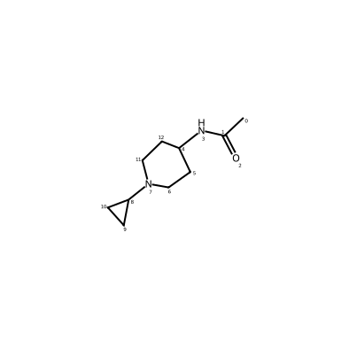 CC(=O)NC1CCN(C2CC2)CC1